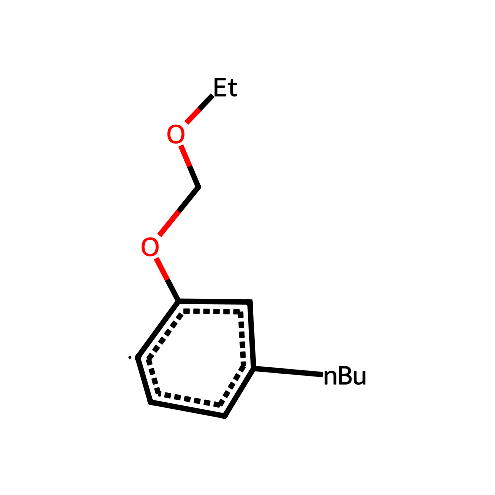 CCCCc1cc[c]c(OCOCC)c1